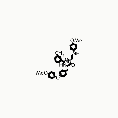 COc1ccc(NCCNC(=O)[C@H](Cc2ccc(Oc3ccc(OC)cc3)cc2)NC(=O)c2cccc(C)c2)cc1